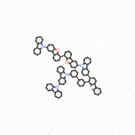 c1cc(-c2cccc(-n3c4ccccc4c4cc(-n5c6ccccc6c6ccccc65)ccc43)c2)cc(-c2c(-c3ccc4c(c3)c3ccccc3n4-c3ccc4oc5c(-c6cccc7c6oc6ccc(-n8c9ccccc9c9ccccc98)cc67)cccc5c4c3)ccc3c2sc2ccccc23)c1